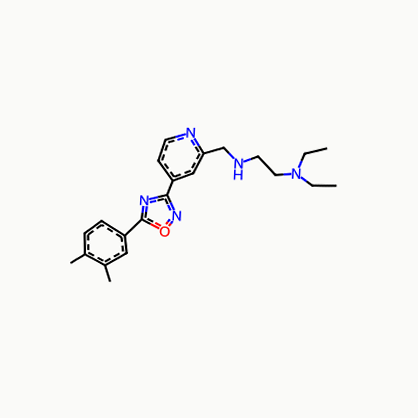 CCN(CC)CCNCc1cc(-c2noc(-c3ccc(C)c(C)c3)n2)ccn1